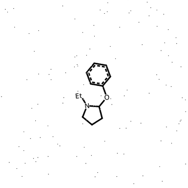 CCN1CCCC1Oc1ccccc1